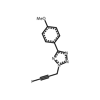 COc1ccc(-c2nnn(CC#CI)n2)cc1